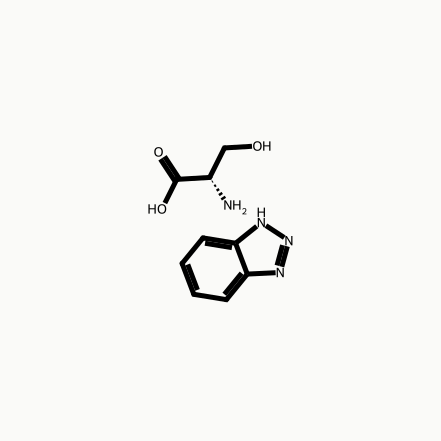 N[C@@H](CO)C(=O)O.c1ccc2[nH]nnc2c1